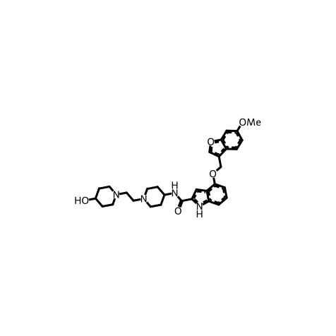 COc1ccc2c(COc3cccc4[nH]c(C(=O)NC5CCN(CCN6CCC(O)CC6)CC5)cc34)coc2c1